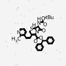 Cc1ncccc1/C=C\C1=C(C(=O)OC(c2ccccc2)c2ccccc2)N2C(=O)[C@@H](NC(=O)OC(C)(C)C)[C@H]2SC1